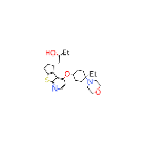 CC[C@H](O)C[C@H]1CCc2sc3nccc(O[C@H]4CC[C@](CC)(N5CCOCC5)CC4)c3c21